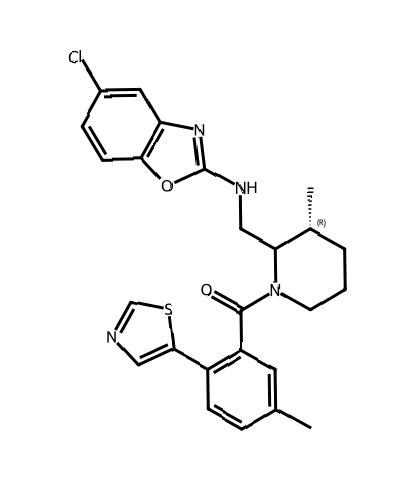 Cc1ccc(-c2cncs2)c(C(=O)N2CCC[C@@H](C)C2CNc2nc3cc(Cl)ccc3o2)c1